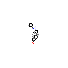 COc1ccc2c(c1)CC[C@@H]1[C@@H]2CC[C@]2(C)[C@@H](N(C)Cc3ccccc3)CC[C@@H]12